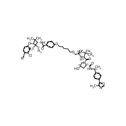 Cc1ncoc1-c1ccc([C@H](C)NC(=O)[C@@H]2C[C@@H](O)CN2C(=O)[C@@H](NC(=O)COCCCCCOc2ccc(C(=O)N[C@H]3C(C)(C)[C@H](Oc4ccc(C#N)c(Cl)c4)C3(C)C)cc2)C(C)(C)C)cc1